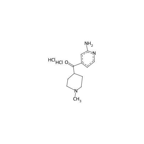 CN1CCC(C(=O)c2ccnc(N)c2)CC1.Cl.Cl